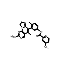 CNc1ncc2c(n1)N1CCN=C1C(c1cc(NC(=O)c3cc(C(F)(F)F)ccn3)ccc1C)=C2C